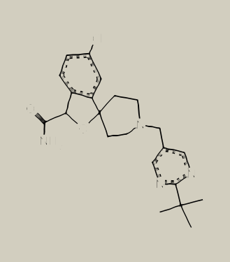 CC(C)(C)c1ncc(CN2CCC3(CC2)OC(C(N)=O)c2ccc(Cl)cc23)cn1